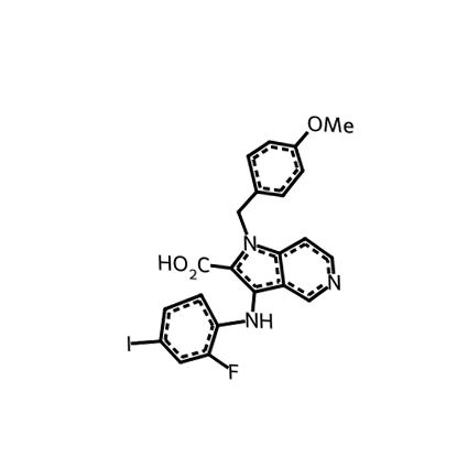 COc1ccc(Cn2c(C(=O)O)c(Nc3ccc(I)cc3F)c3cnccc32)cc1